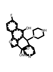 COC(=O)c1coc2c1c(C(c1ccncc1)N1CCNCC1)c(O)c1cc(F)ccc12